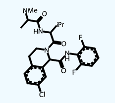 CNC(C)C(=O)NC(C(=O)N1CCc2ccc(Cl)cc2C1C(=O)Nc1c(F)cccc1F)C(C)C